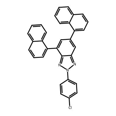 Clc1ccc(-n2nc3cc(-c4cccc5ccccc45)cc(-c4cccc5ccccc45)c3n2)cc1